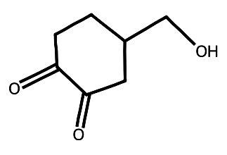 O=C1CCC(CO)CC1=O